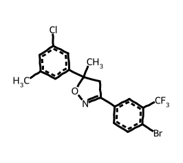 Cc1cc(Cl)cc(C2(C)CC(c3ccc(Br)c(C(F)(F)F)c3)=NO2)c1